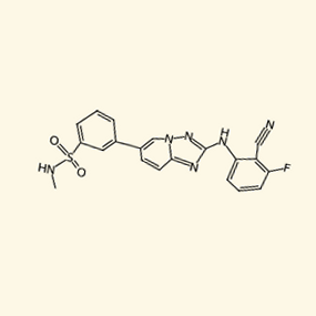 CNS(=O)(=O)c1cccc(-c2ccc3nc(Nc4cccc(F)c4C#N)nn3c2)c1